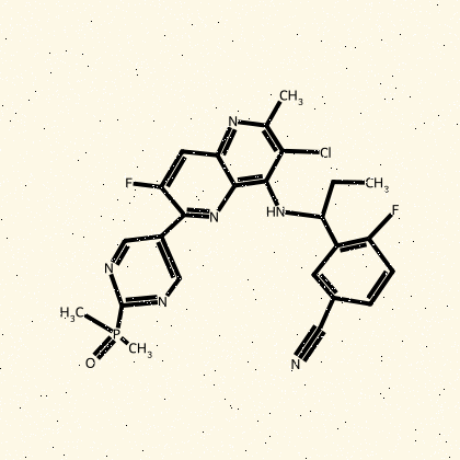 CCC(Nc1c(Cl)c(C)nc2cc(F)c(-c3cnc(P(C)(C)=O)nc3)nc12)c1cc(C#N)ccc1F